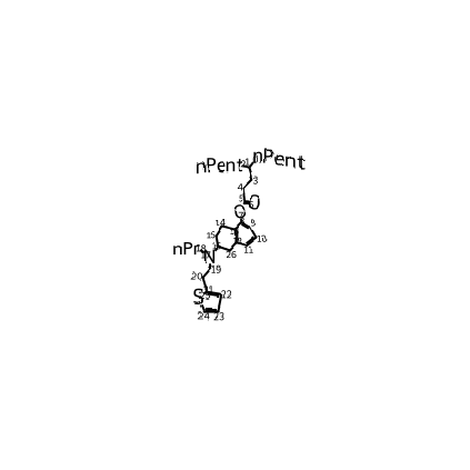 CCCCCC(CCCCC)CCC(=O)Oc1cccc2c1CCC(N(CCC)CCc1cccs1)C2